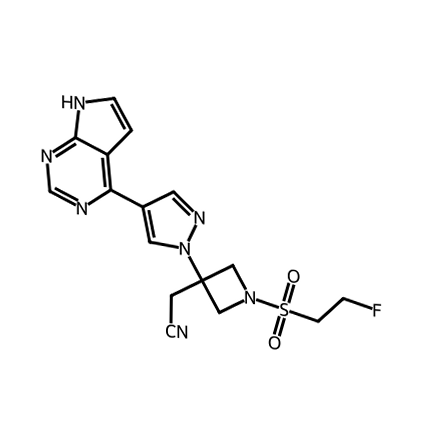 N#CCC1(n2cc(-c3ncnc4[nH]ccc34)cn2)CN(S(=O)(=O)CCF)C1